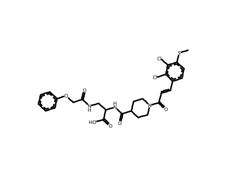 CSc1ccc(C=CC(=O)N2CCC(C(=O)NC(CNC(=O)COc3ccccc3)C(=O)O)CC2)c(Cl)c1Cl